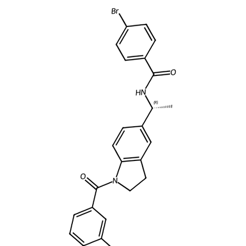 C[C@@H](NC(=O)c1ccc(Br)cc1)c1ccc2c(c1)CCN2C(=O)c1cccc(Cl)c1